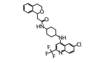 O=C(CC1OCCc2ccccc21)NC1CCC(Nc2cc(C(F)(F)F)nc3ccc(Cl)cc23)CC1